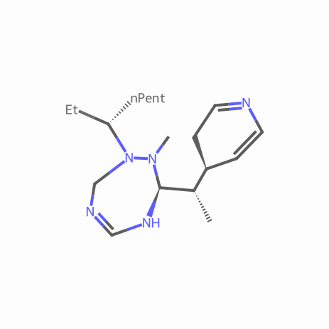 CCCCC[C@@H](CC)N1CN=CN[C@H]([C@@H](C)[C@@H]2C=CN=CC2)N1C